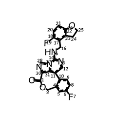 O=C1OCc2cc(F)ccc2-c2cnc(NCc3c(F)ccc4c3CCO4)n3cnc1c23